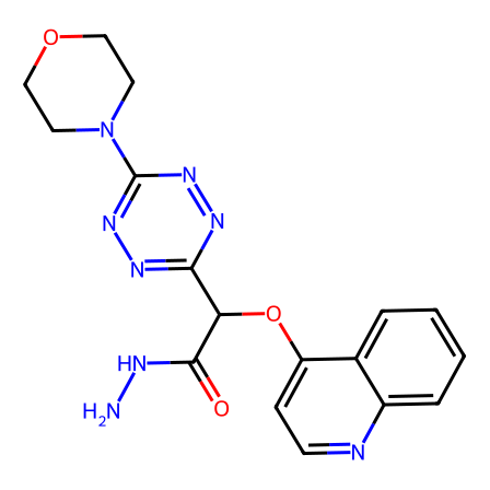 NNC(=O)C(Oc1ccnc2ccccc12)c1nnc(N2CCOCC2)nn1